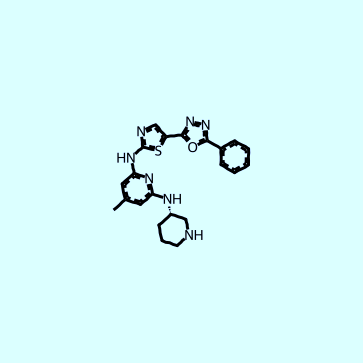 Cc1cc(Nc2ncc(-c3nnc(-c4ccccc4)o3)s2)nc(N[C@H]2CCCNC2)c1